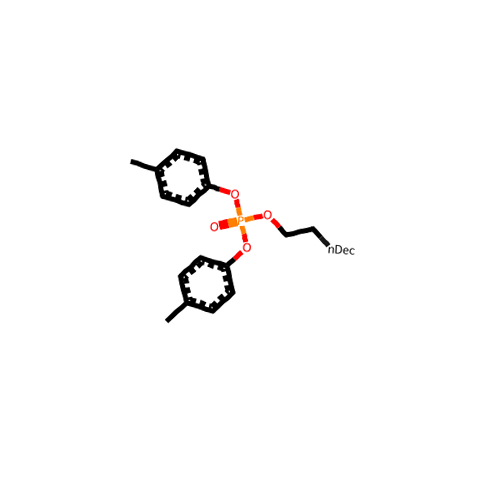 CCCCCCCCCCCCOP(=O)(Oc1ccc(C)cc1)Oc1ccc(C)cc1